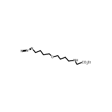 CCOC(=O)CNCCCCOCCCCN=[N+]=[N-]